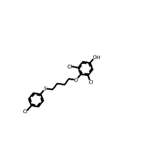 Oc1cc(Cl)c(OCCCCSc2ccc(Cl)cc2)c(Cl)c1